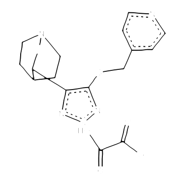 O=C(O)C(=O)O.c1cc(CSc2nsnc2C2CN3CCC2CC3)ccn1